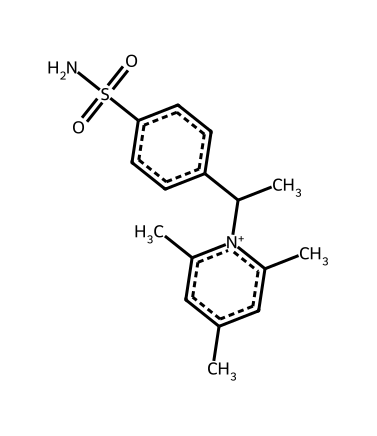 Cc1cc(C)[n+](C(C)c2ccc(S(N)(=O)=O)cc2)c(C)c1